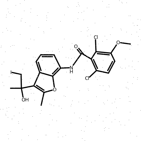 COc1ccc(Cl)c(C(=O)Nc2cccc3c(C(C)(O)CI)c(C)oc23)c1Cl